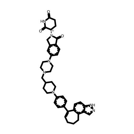 O=C1CC[C@H](N2Cc3cc(N4CCN(CC5CCN(c6ccc(C7=CCCCc8c7ccc7[nH]ncc87)cc6)CC5)CC4)ccc3C2=O)C(=O)N1